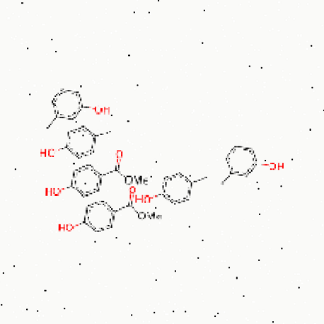 COC(=O)c1ccc(O)cc1.COC(=O)c1ccc(O)cc1.Cc1ccc(O)cc1.Cc1ccc(O)cc1.Cc1cccc(O)c1.Cc1cccc(O)c1